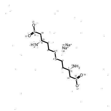 N[C@@H](CCSSCC[C@H](N)CS(=O)[O-])CS(=O)[O-].[Na+].[Na+]